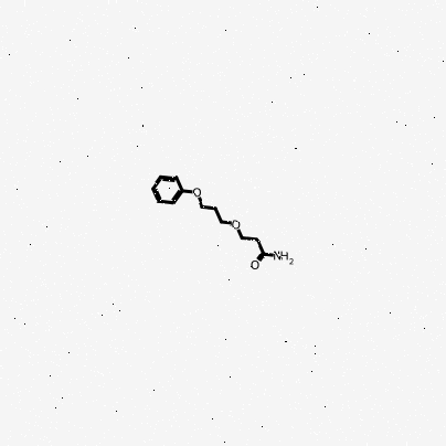 NC(=O)CCOCCCOc1ccccc1